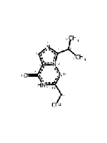 CC(C)c1ncc2c(=O)[nH]c(CCl)nn12